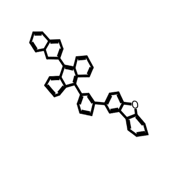 C1=CC2=CC=C(c3c4ccccc4c(-c4cccc(-c5ccc6oc7ccccc7c6c5)c4)c4ccccc34)CC2C=C1